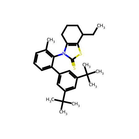 CCC1CCCc2c1sc(=S)n2-c1c(C)cccc1-c1cc(C(C)(C)C)cc(C(C)(C)C)c1